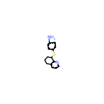 Nc1ccc(SC2CCCc3cccnc32)cc1